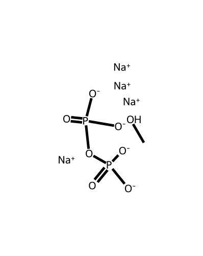 CO.O=P([O-])([O-])OP(=O)([O-])[O-].[Na+].[Na+].[Na+].[Na+]